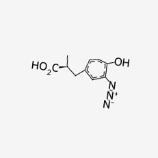 C[C@@H](Cc1ccc(O)c(N=[N+]=[N-])c1)C(=O)O